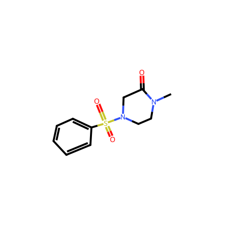 CN1CCN(S(=O)(=O)c2ccccc2)CC1=O